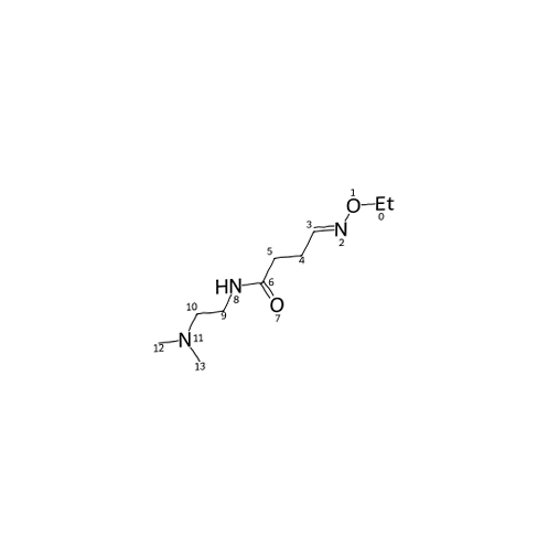 CCO/N=C/CCC(=O)NCCN(C)C